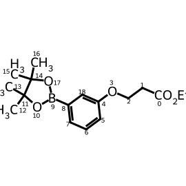 CCOC(=O)CCOc1cccc(B2OC(C)(C)C(C)(C)O2)c1